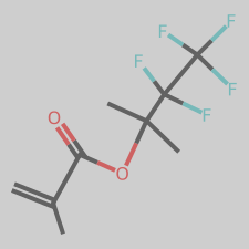 C=C(C)C(=O)OC(C)(C)C(F)(F)C(F)(F)F